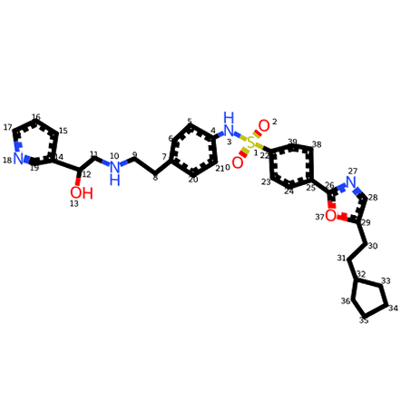 O=S(=O)(Nc1ccc(CCNCC(O)c2cccnc2)cc1)c1ccc(-c2ncc(CCC3CCCC3)o2)cc1